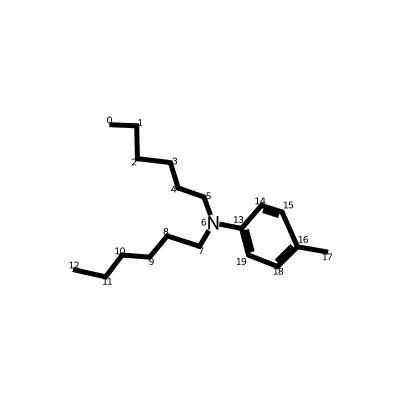 CCCCCCN(CCCCCC)c1ccc(C)cc1